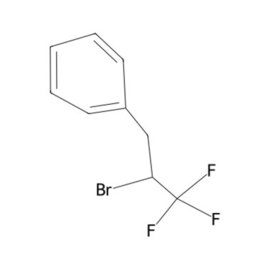 FC(F)(F)C(Br)Cc1ccccc1